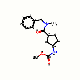 CN(Cc1ccccc1)C(=O)C1CCC(NC(=O)OC(C)(C)C)C1